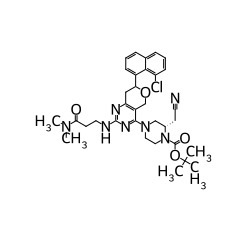 CN(C)C(=O)CCNc1nc2c(c(N3CCN(C(=O)OC(C)(C)C)[C@@H](CC#N)C3)n1)COC(c1cccc3cccc(Cl)c13)C2